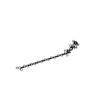 COc1ccc(OC)c(CN2C(=O)NC3(CCN(c4ncc(C(=O)NCCOCCOCCOCCOCCOCCOCCOCCOCCOCCOCCOCCOCCC(=O)O)cn4)CC3)C2=O)c1